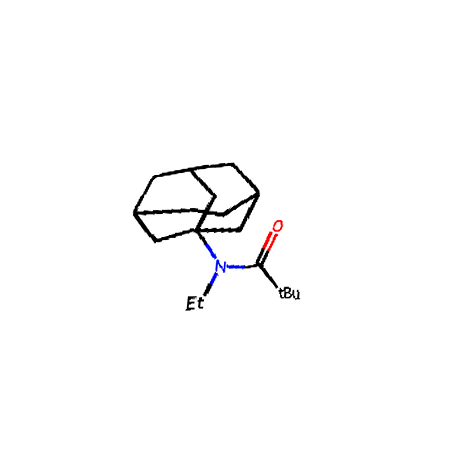 CCN(C(=O)C(C)(C)C)C12CC3CC(CC(C3)C1)C2